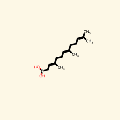 CC(C)=CCC/C(C)=C/CC/C(C)=C/CB(O)O